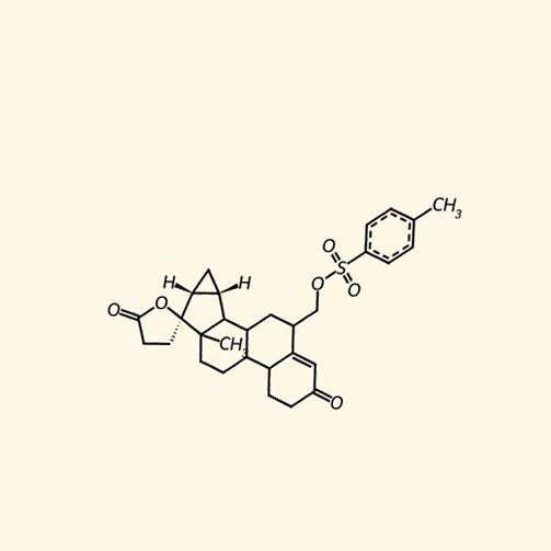 Cc1ccc(S(=O)(=O)OCC2CC3C(CCC4(C)C3[C@H]3C[C@H]3[C@@]43CCC(=O)O3)C3CCC(=O)C=C23)cc1